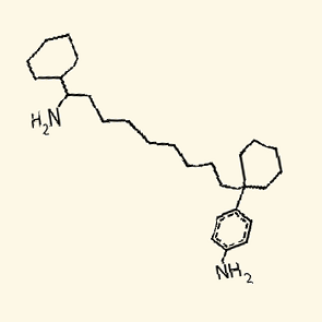 Nc1ccc(C2(CCCCCCCCC(N)C3CCCCC3)CCCCC2)cc1